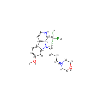 COc1ccc2c3ccnc(C(F)(F)F)c3n(CCCCN3CCOCC3)c2c1